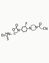 CCC(=S)NC[C@H]1CN(c2ccc(N3CCN(C(=O)CC#N)CC3)c(F)c2)C(=O)O1